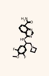 COc1c(F)cc(C(CN2CCC2)Nc2ncnc3c(C(N)=O)cccc23)cc1F